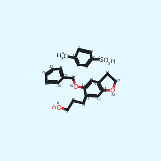 Cc1ccc(S(=O)(=O)O)cc1.OCCCc1cc2c(cc1OCc1ccccc1)CCO2